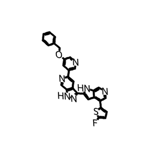 Fc1ccc(-c2cncc3[nH]c(-c4n[nH]c5cnc(-c6cncc(OCc7ccccc7)c6)cc45)cc23)s1